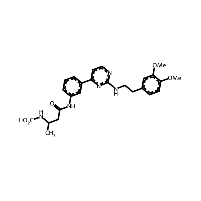 COc1ccc(CCNc2nccc(-c3cccc(NC(=O)CC(C)NC(=O)O)c3)n2)cc1OC